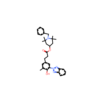 Cc1cc(CCC(=O)OC2CC(C)(C)N(Cc3ccccc3)C(C)(C)C2)cc(-n2nc3ccccc3n2)c1O